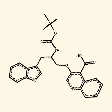 CC(C)(C)OC(=O)NC(COc1cnc2ccccc2c1C(=O)O)Cc1csc2ccccc12